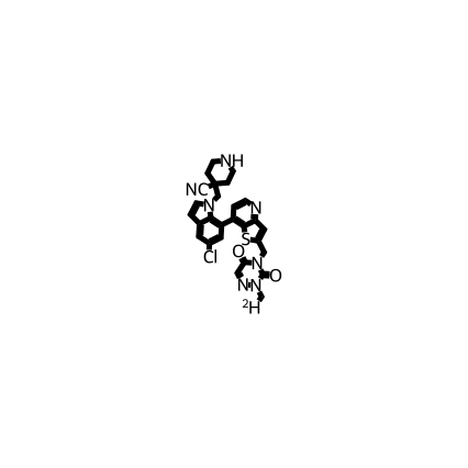 [2H]Cn1ncc(=O)n(Cc2cc3nccc(-c4cc(Cl)cc5ccn(CC6(C#N)CCNCC6)c45)c3s2)c1=O